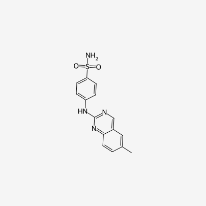 Cc1ccc2nc(Nc3ccc(S(N)(=O)=O)cc3)ncc2c1